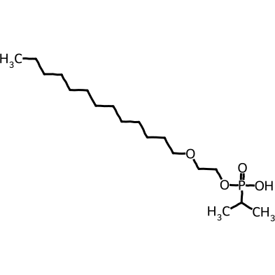 CCCCCCCCCCCCCOCCOP(=O)(O)C(C)C